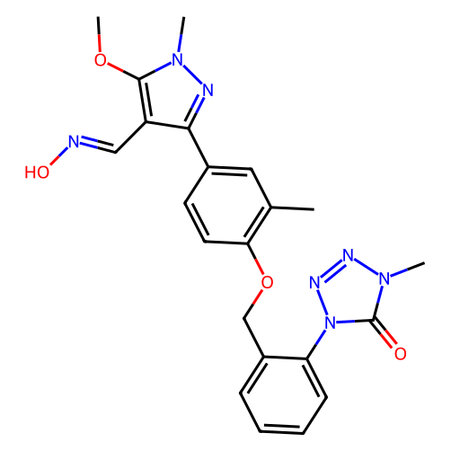 COc1c(C=NO)c(-c2ccc(OCc3ccccc3-n3nnn(C)c3=O)c(C)c2)nn1C